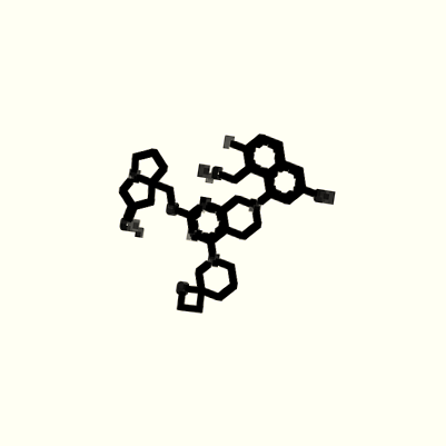 C=C1CN2CCCC2(COc2nc3c(c(N4CCCC5(CCO5)C4)n2)CCN(c2cc(O)cc4ccc(F)c(CC)c24)C3)C1